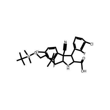 CC(C)(CCO[Si](C)(C)C(C)(C)C)CC1NC(C(=O)O)C(c2cccc(Cl)c2F)C1(C#N)c1ccc(Cl)cc1F